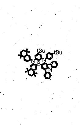 CC(C)(C)c1ccc(N2c3cc(C(C)(C)C)cc4c3B(c3cc5c(cc3N4c3ccc4c(c3)C(C)(C)CCC4(C)C)C(C)(C)CCC5(C)C)c3cc4c5ccccc5n5c6ccccc6c(c32)c45)cc1